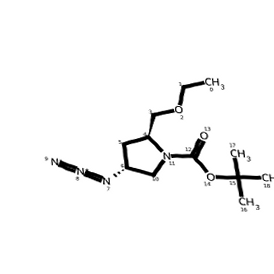 CCOC[C@@H]1C[C@@H](N=[N+]=[N-])CN1C(=O)OC(C)(C)C